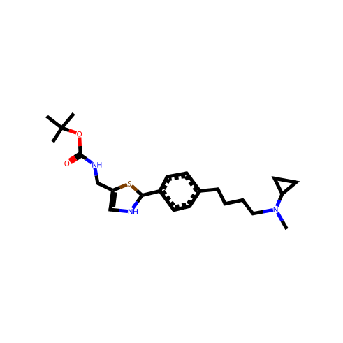 CN(CCCCc1ccc(C2NC=C(CNC(=O)OC(C)(C)C)S2)cc1)C1CC1